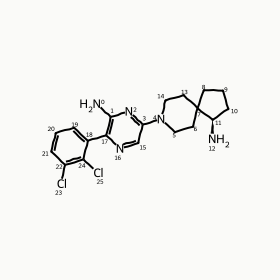 Nc1nc(N2CCC3(CCC[C@H]3N)CC2)cnc1-c1cccc(Cl)c1Cl